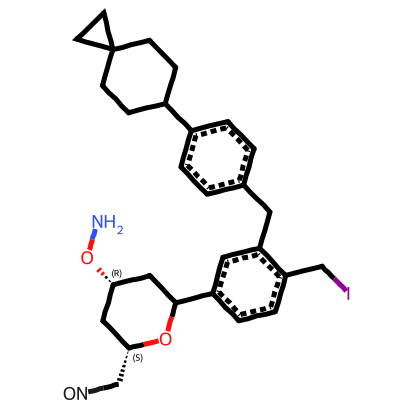 NO[C@@H]1CC(c2ccc(CI)c(Cc3ccc(C4CCC5(CC4)CC5)cc3)c2)O[C@H](CN=O)C1